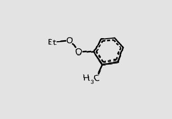 CCOOc1ccccc1C